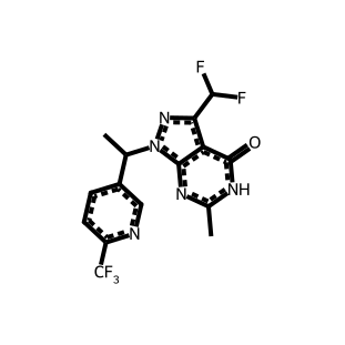 Cc1nc2c(c(C(F)F)nn2C(C)c2ccc(C(F)(F)F)nc2)c(=O)[nH]1